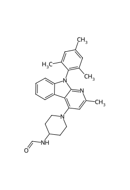 Cc1cc(C)c(-n2c3ccccc3c3c(N4CCC(NC=O)CC4)cc(C)nc32)c(C)c1